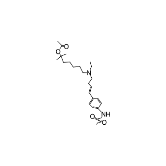 CCN(CCC=Cc1ccc(NS(C)(=O)=O)cc1)CCCCCC(C)(C)OC(C)=O